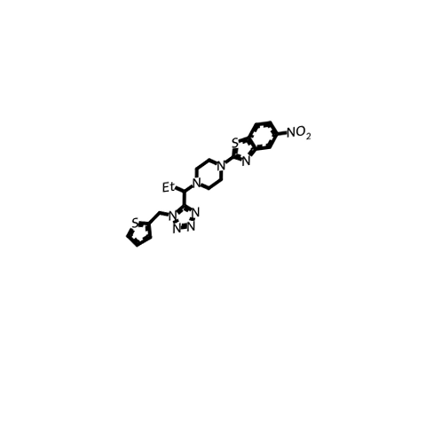 CCC(c1nnnn1Cc1cccs1)N1CCN(c2nc3cc([N+](=O)[O-])ccc3s2)CC1